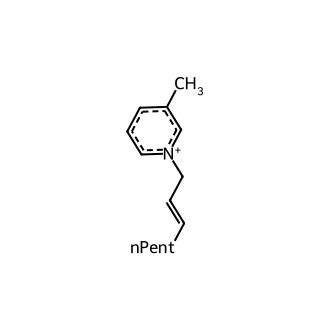 CCCCCC=CC[n+]1cccc(C)c1